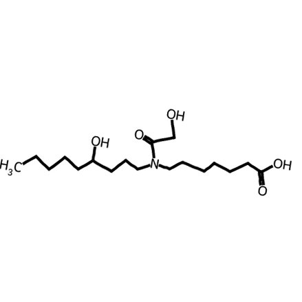 CCCCCC(O)CCCN(CCCCCCC(=O)O)C(=O)CO